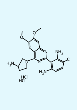 COc1cc2nc(-c3c(N)ccc(Cl)c3N)nc(N3CCC(N)C3)c2cc1OC.Cl.Cl